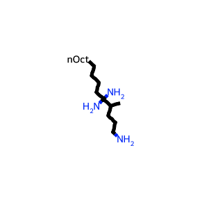 CCCCCCCCCCCCC(N)(N)C(C)CCCN